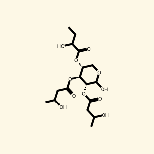 CCC(O)C(=O)O[C@@H]1COC(O)[C@H](OC(=O)CC(C)O)[C@H]1OC(=O)CC(C)O